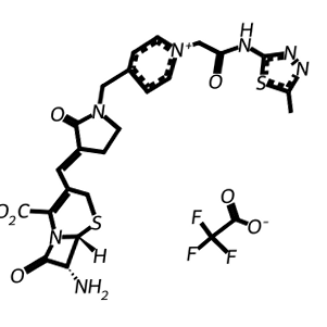 Cc1nnc(NC(=O)C[n+]2ccc(CN3CC/C(=C\C4=C(C(=O)O)N5C(=O)[C@@H](N)[C@H]5SC4)C3=O)cc2)s1.O=C([O-])C(F)(F)F